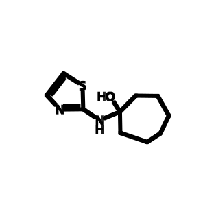 OC1(Nc2nccs2)CCCCCC1